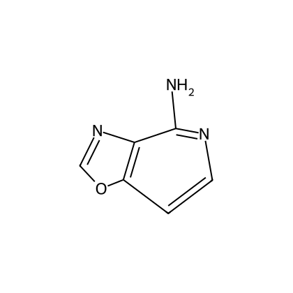 Nc1nccc2ocnc12